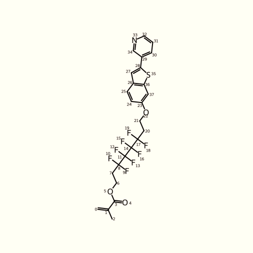 C=C(C)C(=O)OCCC(F)(F)C(F)(F)C(F)(F)C(F)(F)CCOc1ccc2cc(-c3cccnc3)sc2c1